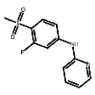 CS(=O)(=O)c1ccc(Nc2ccccn2)cc1F